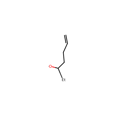 C=CCCC([O])CC